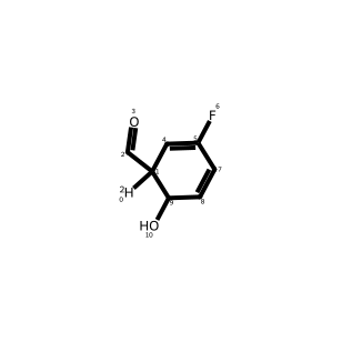 [2H]C1(C=O)C=C(F)C=CC1O